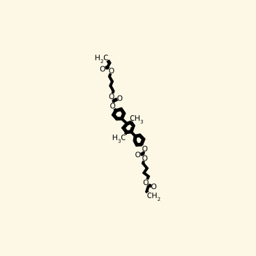 C=CC(=O)OCCCCOC(=O)Oc1ccc(-c2cc(C)c(-c3ccc(OC(=O)OCCCCOC(=O)C=C)cc3)cc2C)cc1